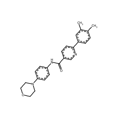 Cc1ccc(-c2ccc(C(=O)Nc3ccc(N4CCOCC4)cc3)cn2)cc1C